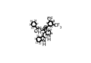 O=C(NCC(=O)C1(Cc2c[nH]c3ccccc23)CNCCN1C(=O)c1cc(C(F)(F)F)cc(C(F)(F)F)c1)c1ccccc1